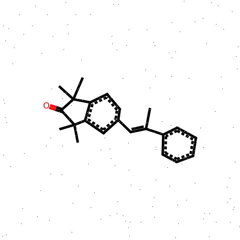 C/C(=C\c1ccc2c(c1)C(C)(C)C(=O)C2(C)C)c1ccccc1